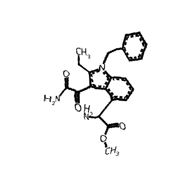 CCc1c(C(=O)C(N)=O)c2c(C(N)C(=O)OC)cccc2n1Cc1ccccc1